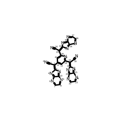 N#CC(=C1N=c2nccnc2=N1)c1cc(C(C#N)=C2N=c3nccnc3=N2)nc(C(C#N)=C2N=c3nccnc3=N2)c1